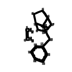 C=C.O=C1C2CCC1CN(Cc1ccccc1)C2